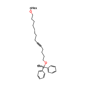 CCCCCCOCCCCCCCCC#CCCCCO[Si](c1ccccc1)(c1ccccc1)C(C)(C)C